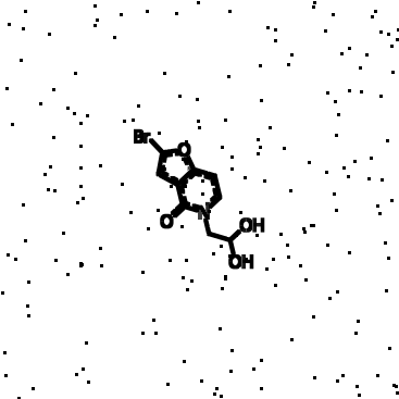 O=c1c2cc(Br)oc2ccn1CC(O)O